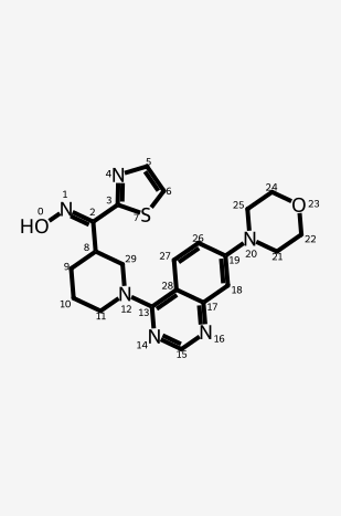 O/N=C(/c1nccs1)C1CCCN(c2ncnc3cc(N4CCOCC4)ccc23)C1